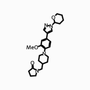 COc1cc(-c2cnn(C3CCCCO3)c2)ccc1N1CCC(CN2CCCC2=O)CC1